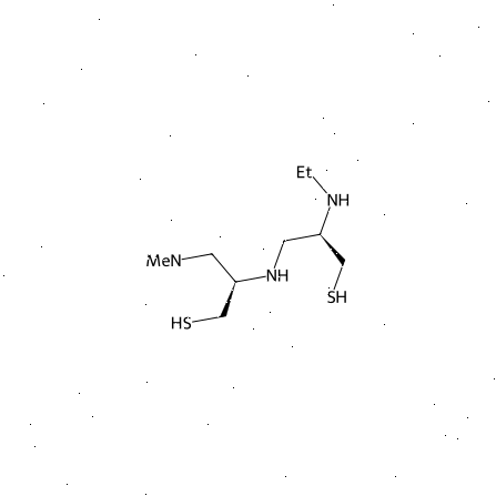 CCN[C@@H](CS)CN[C@@H](CS)CNC